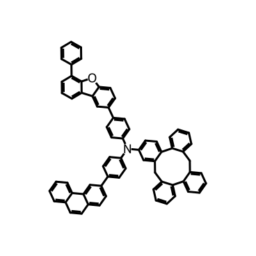 c1ccc(-c2cccc3c2oc2ccc(-c4ccc(N(c5ccc(-c6ccc7ccc8ccccc8c7c6)cc5)c5ccc6c(c5)Cc5ccccc5-c5ccccc5Cc5ccccc5-6)cc4)cc23)cc1